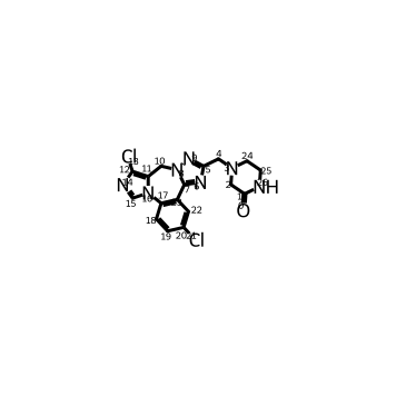 O=C1CN(Cc2nc3n(n2)Cc2c(Cl)ncn2-c2ccc(Cl)cc2-3)CCN1